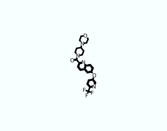 O=C(c1ccc2cc(Oc3ccc(C(F)(F)F)nc3)ccc2n1)N1CCC(N2CCOCC2)CC1